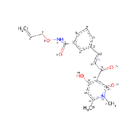 C=CCONC(=O)c1cccc(/C=C/C(=O)c2c(O)cc(C)n(C)c2=O)c1